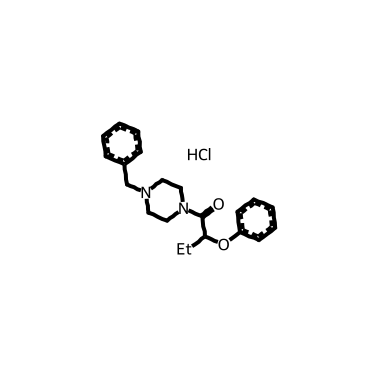 CCC(Oc1ccccc1)C(=O)N1CCN(Cc2ccccc2)CC1.Cl